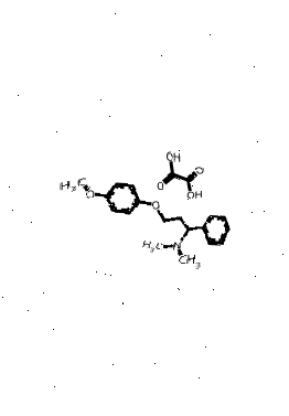 COc1ccc(OCCC(c2ccccc2)N(C)C)cc1.O=C(O)C(=O)O